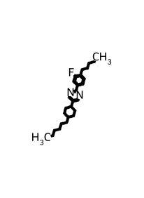 CCCCCCC1CCC(c2cnc(-c3ccc(CCCCC)c(F)c3)nc2)CC1